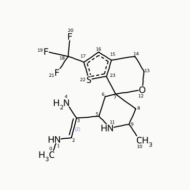 CN/C=C(\N)C1CC2(CC(C)N1)OCCc1cc(C(F)(F)F)sc12